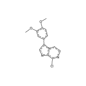 COc1ccc(-c2cnc3c(Cl)nccn23)cc1OC